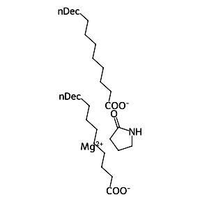 CCCCCCCCCCCCCCCCCC(=O)[O-].CCCCCCCCCCCCCCCCCC(=O)[O-].O=C1CCCN1.[Mg+2]